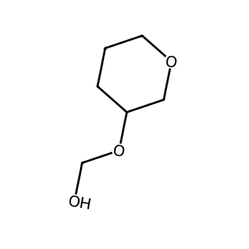 OCOC1CCCOC1